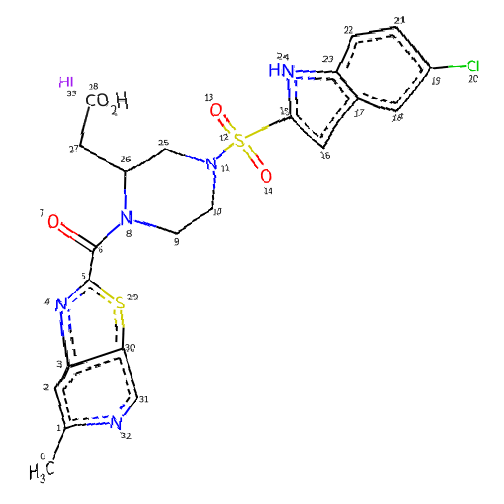 Cc1cc2nc(C(=O)N3CCN(S(=O)(=O)c4cc5cc(Cl)ccc5[nH]4)CC3CC(=O)O)sc2cn1.I